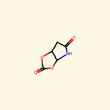 O=C1CC2OC(=O)OC2N1